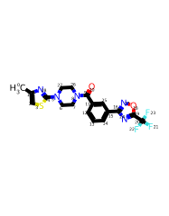 Cc1csc(N2CCN(C(=O)c3cccc(-c4noc(C(F)(F)F)n4)c3)CC2)n1